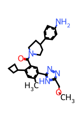 COCc1nnc(-c2cc(C(=O)N3CCC(c4ccc(N)cc4)CC3)c(C3CCC3)cc2C)[nH]1